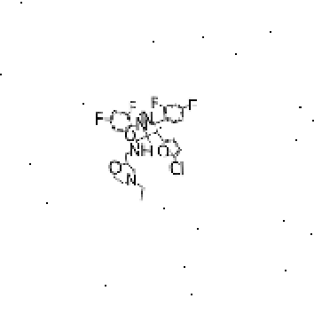 CCN1CCOC(CNC(=O)C2(C)C(c3ccc(Cl)o3)C(c3ccc(F)cc3F)=NN2c2ccc(F)cc2F)C1